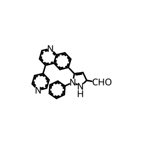 O=CC1C=C(c2ccc3nccc(-c4ccncc4)c3c2)N(c2ccccc2)N1